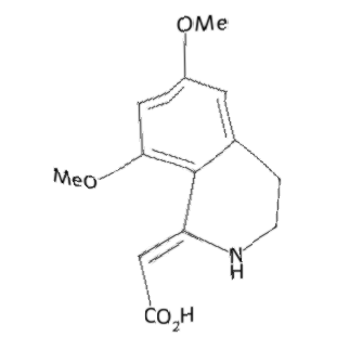 COc1cc2c(c(OC)c1)C(=CC(=O)O)NCC2